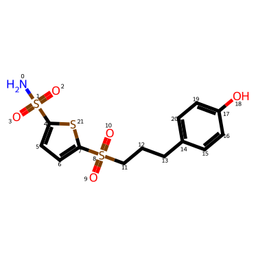 NS(=O)(=O)c1ccc(S(=O)(=O)CCCc2ccc(O)cc2)s1